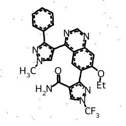 CCOc1cc2ncnc(-c3cn(C)nc3-c3ccccc3)c2cc1-c1nn(C(F)(F)F)cc1C(N)=O